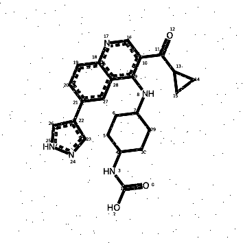 O=C(O)NC1CCC(Nc2c(C(=O)C3CC3)cnc3ccc(-c4cn[nH]c4)cc23)CC1